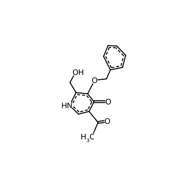 CC(=O)c1c[nH]c(CO)c(OCc2ccccc2)c1=O